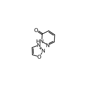 O=c1cccn[nH]1.c1conn1